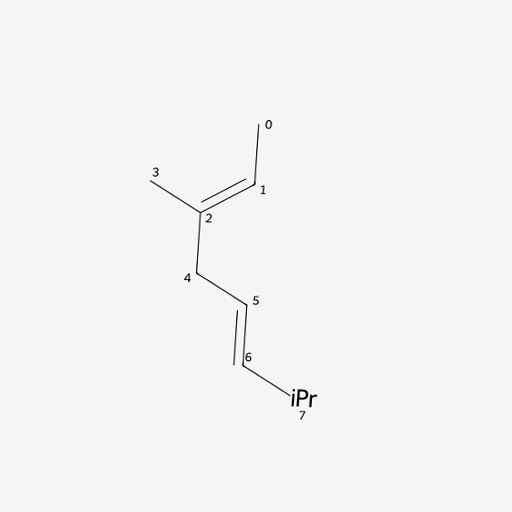 CC=C(C)CC=CC(C)C